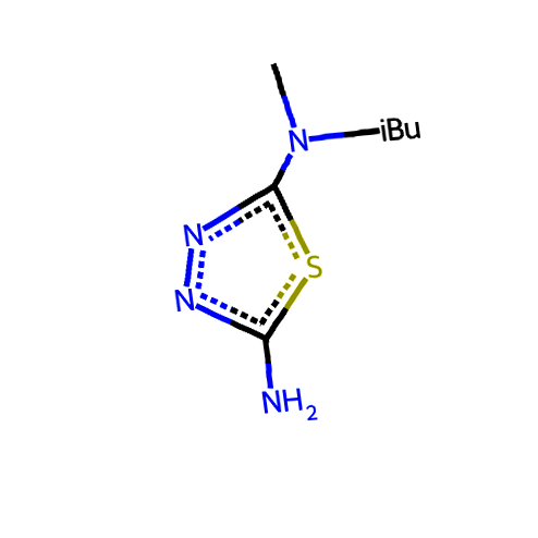 CCC(C)N(C)c1nnc(N)s1